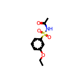 CCOc1cccc(S(=O)(=O)NC(C)=O)c1